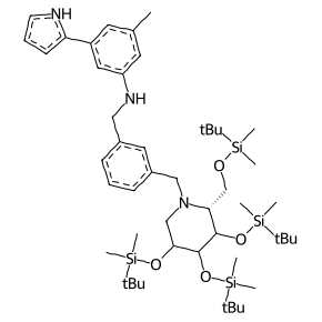 Cc1cc(NCc2cccc(CN3CC(O[Si](C)(C)C(C)(C)C)C(O[Si](C)(C)C(C)(C)C)C(O[Si](C)(C)C(C)(C)C)[C@H]3CO[Si](C)(C)C(C)(C)C)c2)cc(-c2ccc[nH]2)c1